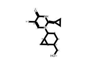 O=C1NC(=C2CC2)N(C2CCC(CO)C3CC32)C=C1I